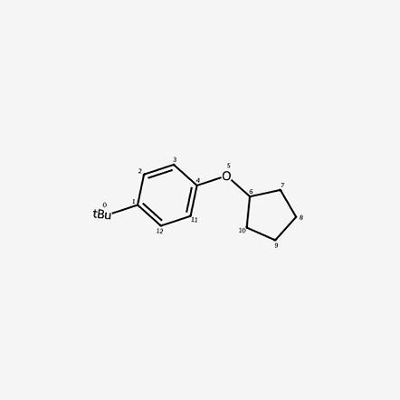 CC(C)(C)c1ccc(OC2CCCC2)cc1